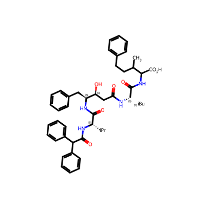 CC[C@H](C)[C@H](NC(=O)C[C@H](O)[C@H](Cc1ccccc1)NC(=O)[C@@H](NC(=O)C(c1ccccc1)c1ccccc1)C(C)C)C(=O)NC(C(=O)O)C(C)CCc1ccccc1